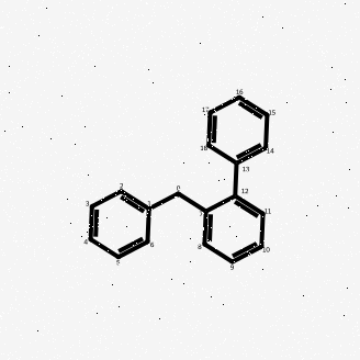 [CH](c1ccccc1)c1ccccc1-c1ccccc1